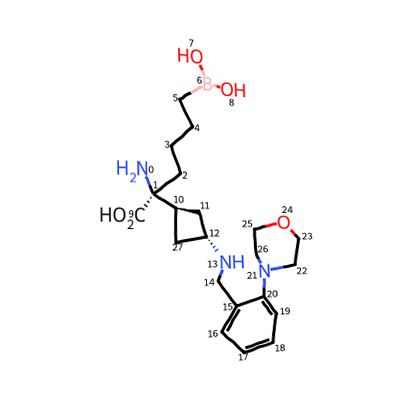 N[C@](CCCCB(O)O)(C(=O)O)[C@H]1C[C@H](NCc2ccccc2N2CCOCC2)C1